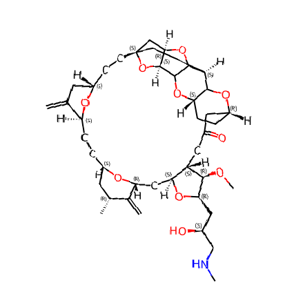 C=C1C[C@@H]2CC[C@]34C[C@@H]5C6O[C@H](C3)[C@H](O4)C6O[C@H]3CC[C@H](CC(=O)C[C@@H]4[C@@H](OC)[C@@H](C[C@H](O)CNC)O[C@H]4C[C@H]4O[C@@H](CC[C@@H]1O2)C[C@@H](C)C4=C)OC53